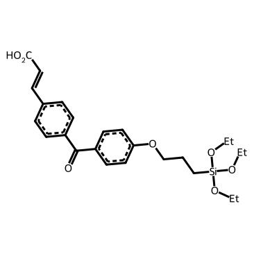 CCO[Si](CCCOc1ccc(C(=O)c2ccc(C=CC(=O)O)cc2)cc1)(OCC)OCC